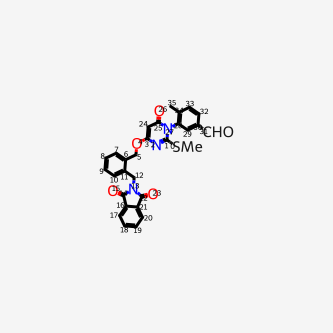 CSc1nc(OCc2ccccc2CN2C(=O)c3ccccc3C2=O)cc(=O)n1-c1cc(C=O)ccc1C